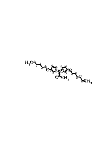 CCCCCCOC1=C[SH](C(C(C)=O)[SH]2C=CC(OCCCCCC)=C2)C=C1